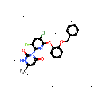 O=c1cc(C(F)(F)F)[nH]c(=O)n1-c1nc(Oc2ccccc2OCc2ccccc2)c(Cl)cc1F